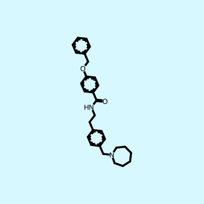 O=C(NCCc1ccc(CN2CCCCCC2)cc1)c1ccc(OCc2ccccc2)cc1